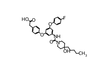 CCCCCC1(O)CCN(C(=O)Nc2cc(Oc3ccc(F)cc3)cc(Oc3ccc(CC(=O)O)cc3)c2)CC1